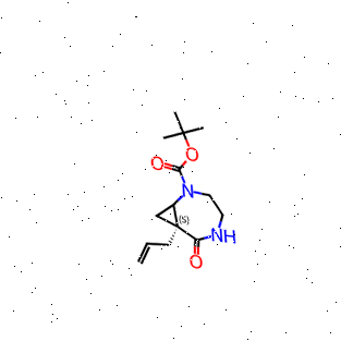 C=CC[C@]12CC1N(C(=O)OC(C)(C)C)CCNC2=O